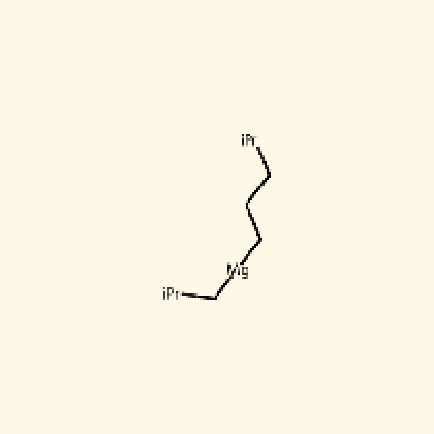 CC(C)CC[CH2][Mg][CH2]C(C)C